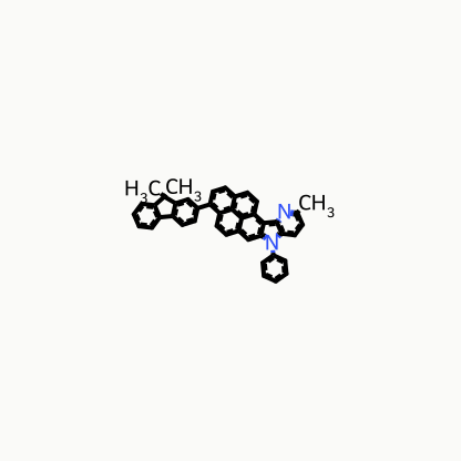 Cc1ccc2c(n1)c1c3ccc4ccc(-c5ccc6c(c5)C(C)(C)c5ccccc5-6)c5ccc(cc1n2-c1ccccc1)c3c45